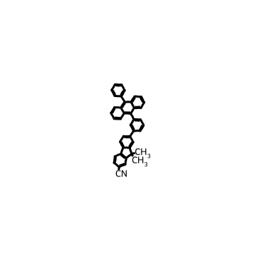 CC1(C)c2cc(C#N)ccc2-c2ccc(-c3cccc(-c4c5ccccc5c(-c5ccccc5)c5ccccc45)c3)cc21